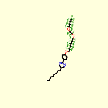 CCCCCCCCc1cnc(-c2ccc(OCC(F)(F)C(F)(F)C(F)(F)C(F)(F)C(F)(F)OC(F)(F)C(F)(F)OC(F)(F)C(F)(F)C(F)(F)C(F)(F)F)cc2)nc1